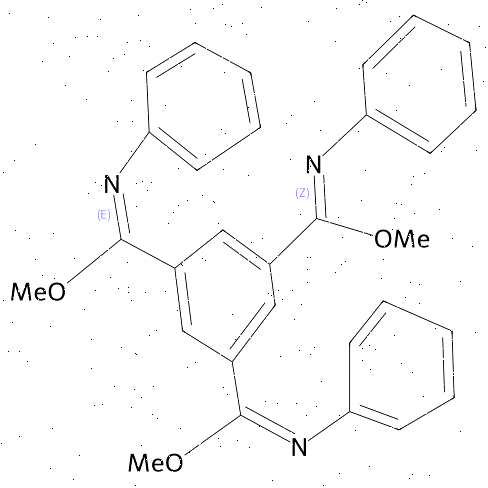 COC(=Nc1ccccc1)c1cc(/C(=N/c2ccccc2)OC)cc(/C(=N\c2ccccc2)OC)c1